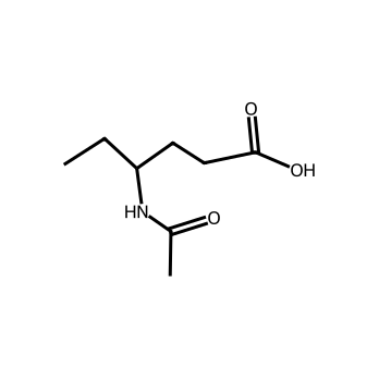 CCC(CCC(=O)O)NC(C)=O